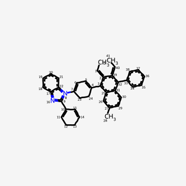 C/C=c1/c(C2=CC=C(n3c(C4=CCCC=C4)nc4ccccc43)CC2)c2cc(C)ccc2c(-c2ccccc2)/c1=C/C